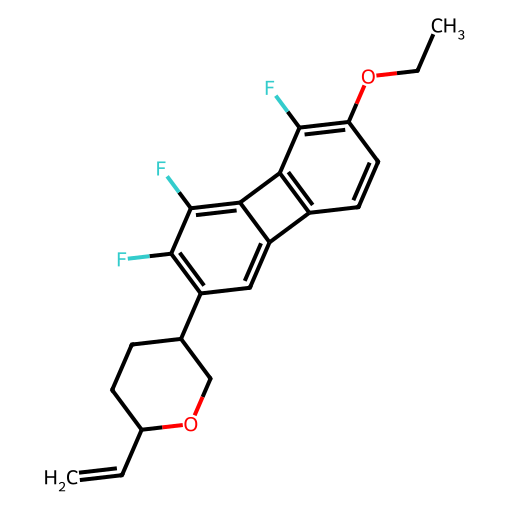 C=CC1CCC(c2cc3c(c(F)c2F)-c2c-3ccc(OCC)c2F)CO1